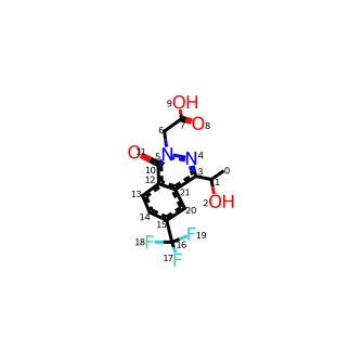 CC(O)c1nn(CC(=O)O)c(=O)c2ccc(C(F)(F)F)cc12